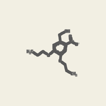 CCCOc1cc(CO)c([N+](=O)[O-])cc1OCCC